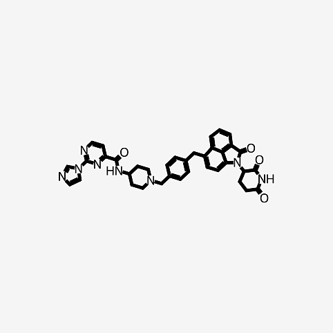 O=C1CCC(N2C(=O)c3cccc4c(Cc5ccc(CN6CCC(NC(=O)c7ccnc(-n8ccnc8)n7)CC6)cc5)ccc2c34)C(=O)N1